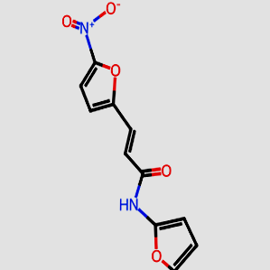 O=C(C=Cc1ccc([N+](=O)[O-])o1)Nc1ccco1